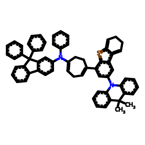 CC1(C)c2ccccc2N(c2cc(C3=CCC=C(N(c4ccccc4)c4ccc5c(c4)C(c4ccccc4)(c4ccccc4)c4ccccc4-5)CC3)c3sc4c(c3c2)=CCCC=4)c2ccccc21